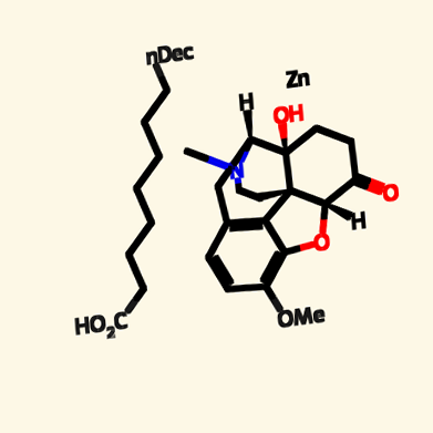 CCCCCCCCCCCCCCCCCC(=O)O.COc1ccc2c3c1O[C@H]1C(=O)CC[C@@]4(O)[C@@H](C2)N(C)CC[C@]314.[Zn]